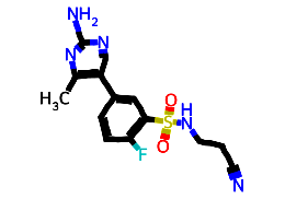 Cc1nc(N)ncc1-c1ccc(F)c(S(=O)(=O)NCCC#N)c1